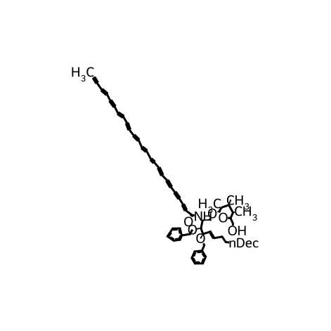 CC#CC#CC#CC#CC#CC#CC#CC#CC#CC#CC#CC#CC(=O)N[C@@H](CO[C@H]1OC(CO)[C@H](C)[C@H](C)C1C)[C@H](OCc1ccccc1)[C@@H](C=CCCCCCCCCCCCC)OCc1ccccc1